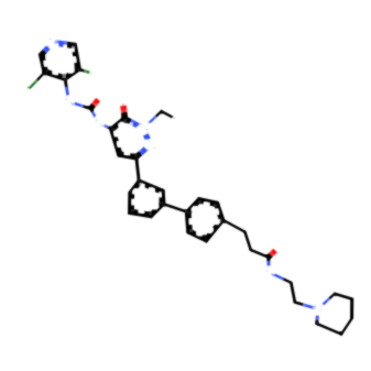 CCn1nc(-c2cccc(-c3ccc(CCC(=O)NCCN4CCCCC4)cc3)c2)cc(NC(=O)Nc2c(Cl)cncc2Cl)c1=O